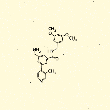 COc1cc(CNC(=O)c2cc(CN)cc(-c3ccncc3C)c2)cc(OC)c1